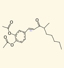 CCCCCC(C)C(=O)/C=C/c1ccc(OC(C)=O)c(OC(C)=O)c1